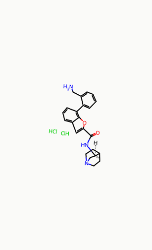 Cl.Cl.NCc1ccccc1-c1cccc2cc(C(=O)N[C@@H]3CN4CCC3CC4)oc12